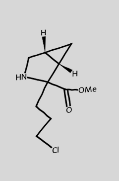 COC(=O)C1(CCCCl)NC[C@@H]2C[C@@H]21